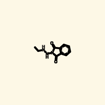 CCNNN1C(=O)c2ccccc2C1=O